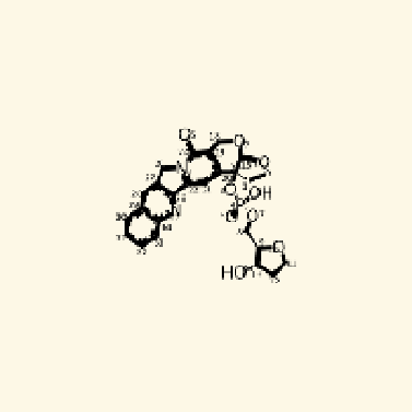 CC[C@@]1(OP(=O)(O)OC[C@H]2OCC[C@@H]2O)C(=O)OCc2c1cc1n(c2=O)Cc2cc3ccccc3nc2-1